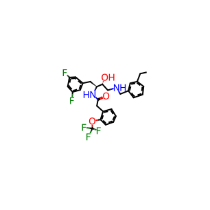 CCc1cccc(CNC[C@@H](O)[C@H](Cc2cc(F)cc(F)c2)NC(=O)Cc2ccccc2OC(F)(F)F)c1